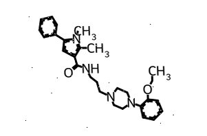 CCOc1ccccc1N1CCN(CCCNC(=O)c2cc(-c3ccccc3)n(C)c2C)CC1